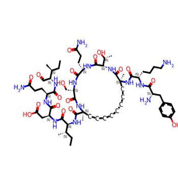 CC[C@H](C)[C@H](NC(=O)[C@]1(C)CCCCCCCC[C@](C)(NC(=O)[C@H](CCCCN)NC(=O)[C@@H](N)Cc2ccc(O)cc2)C(=O)N[C@@H]([C@@H](C)O)C(=O)N[C@@H](CCC(N)=O)C(=O)N[C@@H](CO)C(=O)N1)C(=O)N[C@@H](CC(=O)O)C(=O)N[C@@H](CCC(N)=O)C(=O)N[C@H](C=O)[C@@H](C)CC